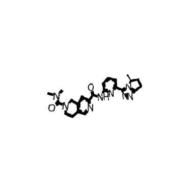 C[C@H]1CCc2nnc(-c3cccc(NC(=O)c4cc5c(cn4)CCN(C(=O)N(C)C)C5)n3)n21